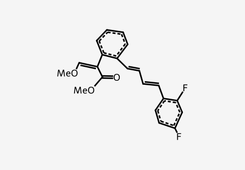 COC=C(C(=O)OC)c1ccccc1C=CC=Cc1ccc(F)cc1F